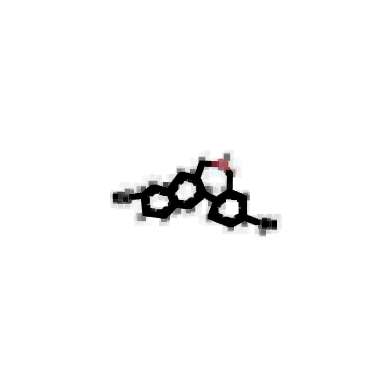 CC(C)(C)c1ccc2c(c1)COCc1cc3cc(C(C)(C)C)ccc3cc1-2